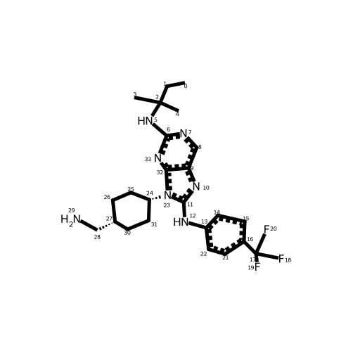 CCC(C)(C)Nc1ncc2nc(Nc3ccc(C(F)(F)F)cc3)n([C@H]3CC[C@@H](CN)CC3)c2n1